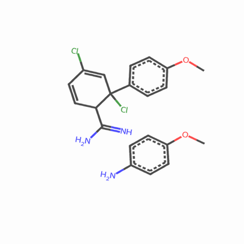 COc1ccc(C2(Cl)C=C(Cl)C=CC2C(=N)N)cc1.COc1ccc(N)cc1